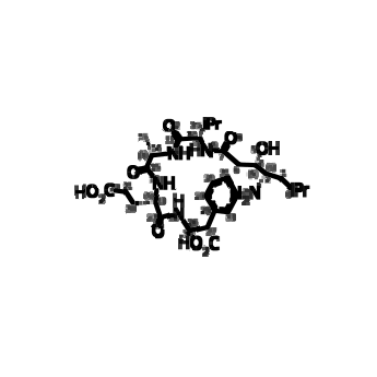 CC(C)C[C@H](N)[C@@H](O)CC(=O)N[C@H](C(=O)N[C@@H](C)C(=O)N[C@@H](CCC(=O)O)C(=O)N[C@@H](Cc1ccccc1)C(=O)O)C(C)C